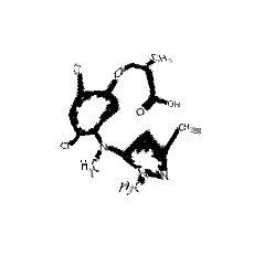 Cc1cc(N(C)c2cc(O[C@@H](C)C(=O)O)c(Cl)cc2Cl)n(C)n1